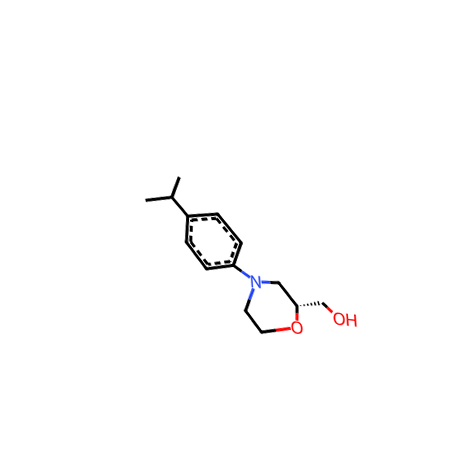 CC(C)c1ccc(N2CCO[C@@H](CO)C2)cc1